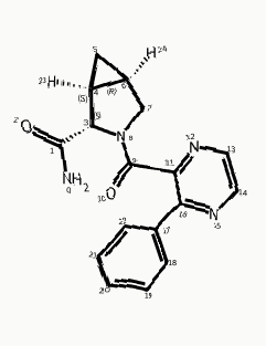 NC(=O)[C@@H]1[C@H]2C[C@H]2CN1C(=O)c1nccnc1-c1ccccc1